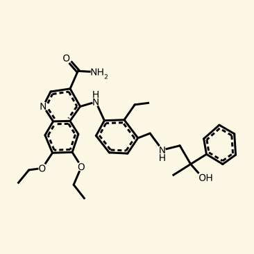 CCOc1cc2ncc(C(N)=O)c(Nc3cccc(CNCC(C)(O)c4ccccc4)c3CC)c2cc1OCC